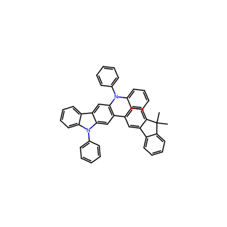 CC1(C)c2ccccc2-c2cc(-c3cc4c(cc3N(c3ccccc3)c3ccccc3)c3ccccc3n4-c3ccccc3)ccc21